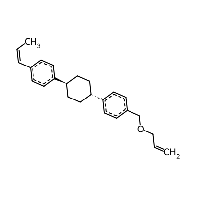 C=CCOCc1ccc([C@H]2CC[C@H](c3ccc(/C=C\C)cc3)CC2)cc1